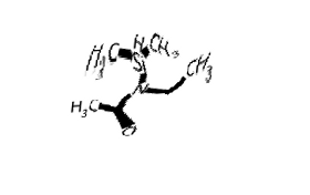 CCN(C(C)=O)[SiH](C)C